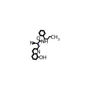 CCCC(NC(=O)/C(C#N)=C/c1ccc2cccc(O)c2n1)c1ccccc1